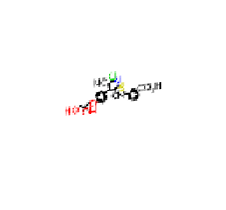 N#Cc1c(Cl)nc(SCc2cccc(C(=O)O)c2)c(C#N)c1-c1ccc(OC[C@H](O)CO)cc1